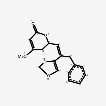 COC1=CC(=O)OC(C=C(Cc2ccccc2)C2=COCO2)C1